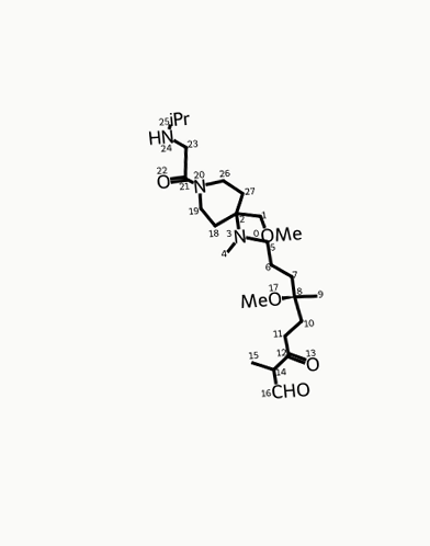 COCC1(N(C)CCC[C@](C)(CCC(=O)C(C)C=O)OC)CCN(C(=O)CNC(C)C)CC1